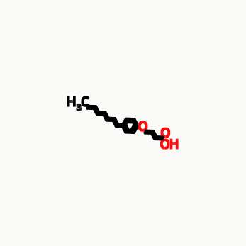 CCCCCCCCc1ccc(OCCCC(=O)O)cc1